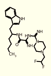 CCCCC(Cc1c[nH]c2ccccc12)NC(=O)C(=N)NC(=N)N1CCN(CC(F)F)CC1